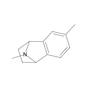 Cc1ccc2c(c1)C1CCC2N1C